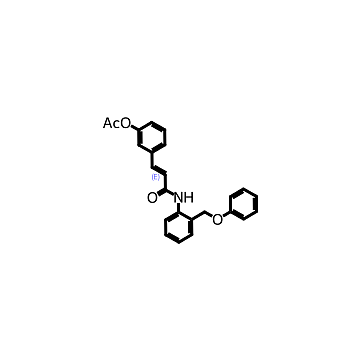 CC(=O)Oc1cccc(/C=C/C(=O)Nc2ccccc2COc2ccccc2)c1